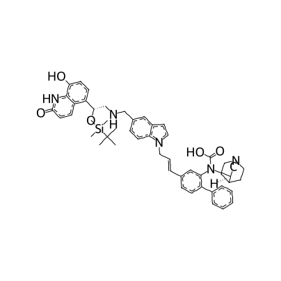 CC(C)(C)[Si](C)(C)O[C@@H](CNCc1ccc2c(ccn2CC=Cc2ccc(-c3ccccc3)c(N(C(=O)O)[C@H]3CN4CCC3CC4)c2)c1)c1ccc(O)c2[nH]c(=O)ccc12